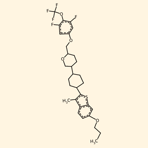 CCCOc1ccc2c(C)c(C3CCC(C4CCC(COc5cc(F)c(OC(F)(F)F)c(F)c5)OC4)CC3)sc2c1